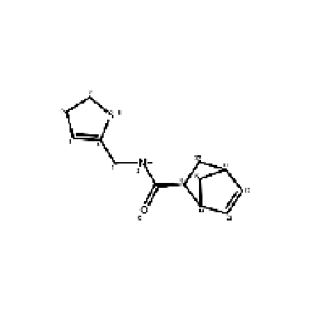 O=C(NCC1=CCCS1)[C@H]1CC2C=CC1C2